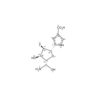 NC(O)[C@H]1O[C@@H](c2nc(C(=O)O)c[nH]2)[C@H](F)[C@@H]1O